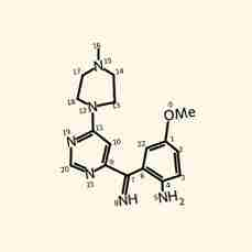 COc1ccc(N)c(C(=N)c2cc(N3CCN(C)CC3)ncn2)c1